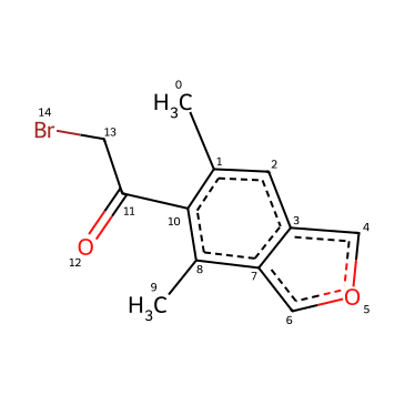 Cc1cc2cocc2c(C)c1C(=O)CBr